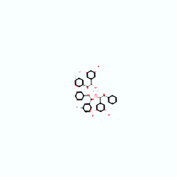 COc1cc(OC)cc(C(OP(=O)(OC(C(=O)c2ccccc2)c2cc(OC)cc(OC)c2)OC(C(=O)c2ccccc2)c2cc(OC)cc(OC)c2)C(=O)c2ccccc2)c1